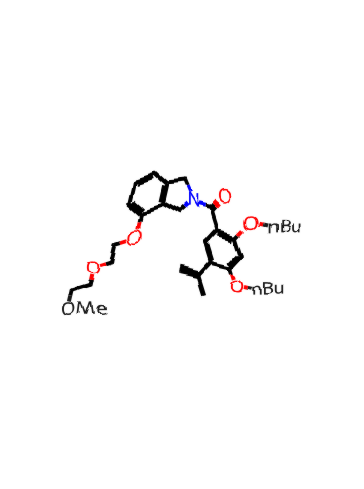 C=C(C)c1cc(C(=O)N2Cc3cccc(OCCOCCOC)c3C2)c(OCCCC)cc1OCCCC